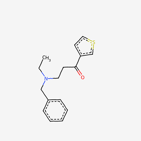 CCN(CCC(=O)c1ccsc1)Cc1ccccc1